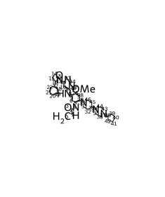 C=CC(=O)Nc1cc(Nc2cc(N3OCCC3c3ccccc3)ncn2)c(OC)cc1N1CCC(N2CCN(C3CCCC3)CC2)CC1